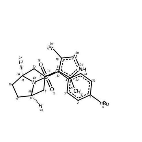 CCCCc1ccc(OC2C[C@H]3CC[C@@H](C2)N3S(=O)(=O)c2c(C(C)C)n[nH]c2C)cc1